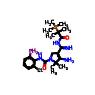 CCc1cccc(P)c1NC(=O)N1CC(C(=N)NC(=O)C(C)(C)S(C)(C)C)=C(N)C1(C)C